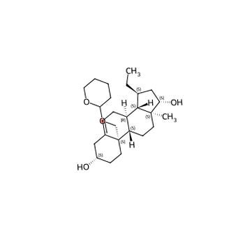 CC[C@H]1C[C@H](O)[C@@]2(C)CC[C@H]3[C@@H](CC=C4C[C@@H](O)CC[C@@]43COC3CCCCO3)[C@H]12